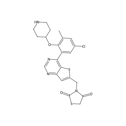 Cc1cc(Cl)cc(-c2ncnc3cc(CN4C(=O)CSC4=O)sc23)c1OC1CCNCC1